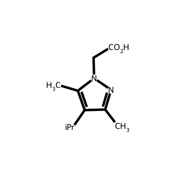 Cc1nn(CC(=O)O)c(C)c1C(C)C